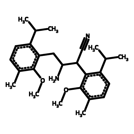 COc1c(C)ccc(C(C)C)c1CC(N)C(C#N)c1c(C(C)C)ccc(C)c1OC